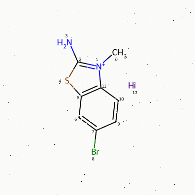 C[n+]1c(N)sc2cc(Br)ccc21.I